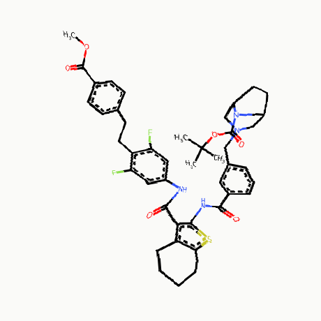 COC(=O)c1ccc(CCc2c(F)cc(NC(=O)c3c(NC(=O)c4cccc(CN5CC6CCC(C5)N6C(=O)OC(C)(C)C)c4)sc4c3CCCC4)cc2F)cc1